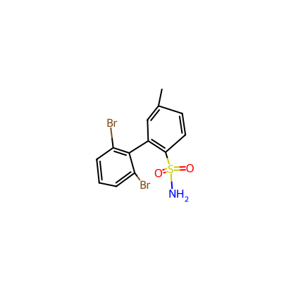 Cc1ccc(S(N)(=O)=O)c(-c2c(Br)cccc2Br)c1